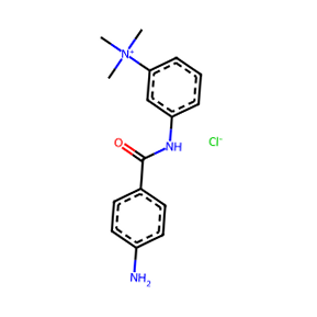 C[N+](C)(C)c1cccc(NC(=O)c2ccc(N)cc2)c1.[Cl-]